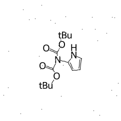 CC(C)(C)OC(=O)N(C(=O)OC(C)(C)C)c1ccc[nH]1